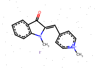 CN1C(=Cc2cc[n+](C)cc2)C(=O)c2ccccc21.[I-]